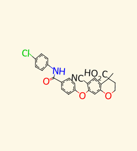 CC1(C(=O)O)CCOc2cc(Oc3ccc(C(=O)Nc4ccc(Cl)cc4)cc3)c(C#N)cc21